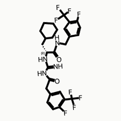 N=C(NC(=O)Cc1ccc(F)c(C(F)(F)F)c1)N[C@H](CC1CCCCC1)C(=O)NCc1ccc(F)c(C(F)(F)F)c1